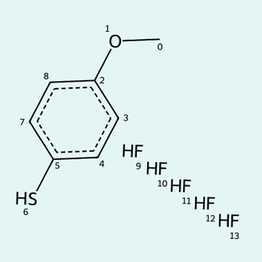 COc1ccc(S)cc1.F.F.F.F.F